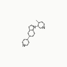 Cc1ccncc1-n1ccc2cc(-c3ccncc3)ccc21